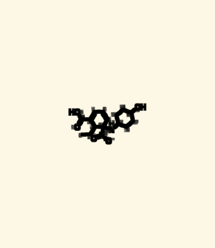 CCC1C(C(=O)O)=CC=CC1(NC1CCC(O)CC1)[N+](=O)[O-]